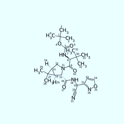 CC(C)(C)OC(=O)N[C@H](C(=O)N1C[C@H]2[C@@H]([C@H]1C(=O)NC(C#N)c1ccon1)C2(C)C)C(C)(C)C